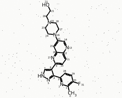 Cc1nc(-c2n[nH]cc2-c2ccc3ncc(N4CCN(CCO)CC4)cc3n2)ccc1F